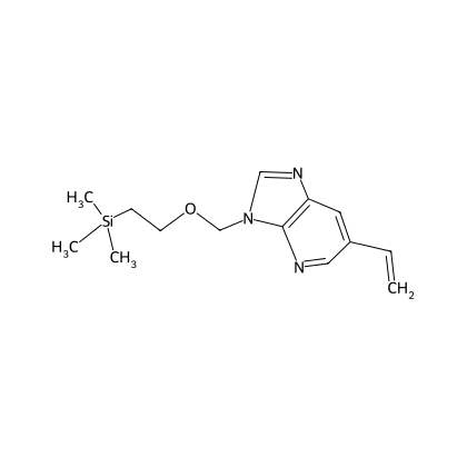 C=Cc1cnc2c(c1)ncn2COCC[Si](C)(C)C